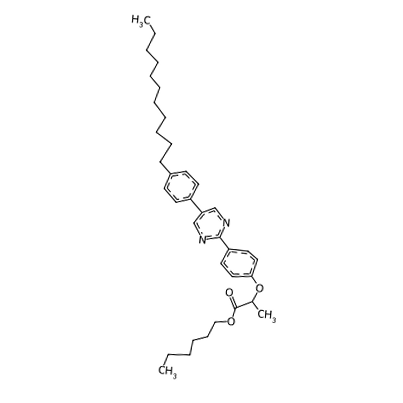 CCCCCCCCCCCc1ccc(-c2cnc(-c3ccc(OC(C)C(=O)OCCCCCC)cc3)nc2)cc1